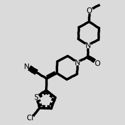 COC1CCN(C(=O)N2CCC(=C(C#N)c3ccc(Cl)s3)CC2)CC1